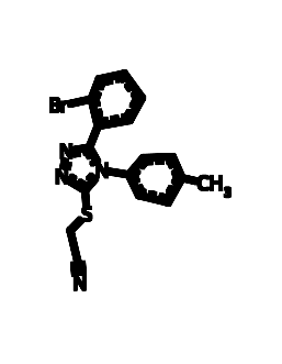 Cc1ccc(-n2c(SCC#N)nnc2-c2ccccc2Br)cc1